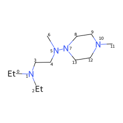 CCN(CC)CCN(C)N1CCN(C)CC1